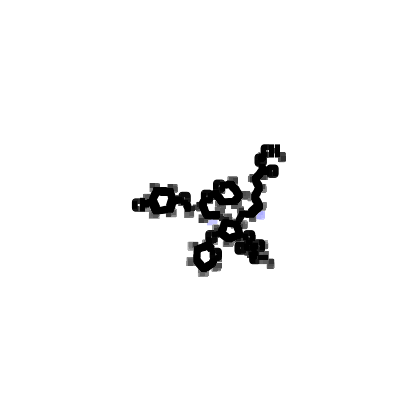 COC(=O)CCC/C=C\C[C@@H]1[C@@H](/C=C/[C@H](COc2ccc(Cl)cc2)OC2CCCCO2)[C@H](OC2CCCCO2)C[C@H]1OS(C)(=O)=O